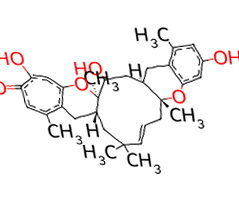 Cc1cc(=O)c(O)cc2c1C[C@H]1CC(C)(C)/C=C/C[C@@]3(C)Oc4cc(O)cc(C)c4C[C@@H]3C[C@H](O)[C@]1(C)O2